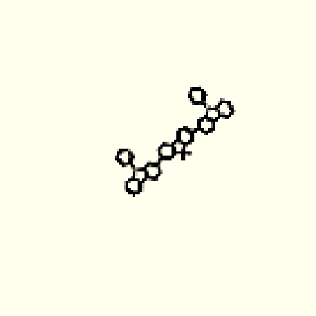 CC1(C)C2=C(CCC(C3=CC4=C(CC3)C3=CC=CCC3N4C3=CCCC=C3)=C2)C2=CC=C(C3=CC4=C(CC3)C3=CC=CCC3N4c3ccccc3)CC21